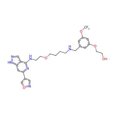 OCCOc1cc(CNCCCCOCCNc2nc(-c3cnoc3)cc3[nH]ncc23)cc(OC(F)(F)F)c1